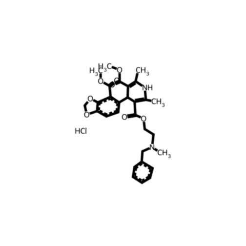 COC(=O)C1=C(C)NC(C)=C(C(=O)OCCN(C)Cc2ccccc2)C1c1ccc2c(c1C(=O)OC)OCO2.Cl